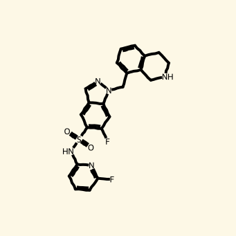 O=S(=O)(Nc1cccc(F)n1)c1cc2cnn(Cc3cccc4c3CNCC4)c2cc1F